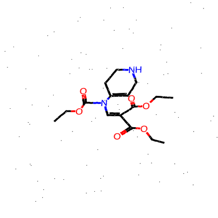 CCOC(=O)C(=CN(C(=O)OCC)C1=CCNCC1)C(=O)OCC